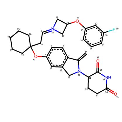 C=C1c2ccc(OC3(CC=[N+]4CC(Oc5cccc(F)c5)C4)CCCCC3)cc2CN1C1CCC(=O)NC1=O